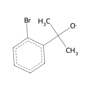 CC(C)([O])c1ccccc1Br